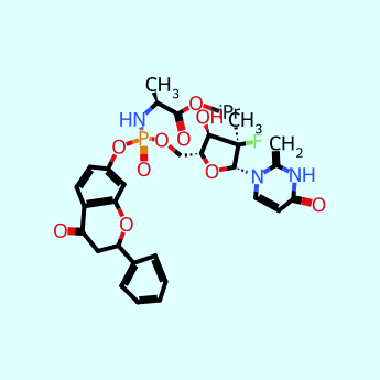 C=C1NC(=O)C=CN1[C@@H]1O[C@H](COP(=O)(N[C@@H](C)C(=O)OC(C)C)Oc2ccc3c(c2)OC(c2ccccc2)CC3=O)[C@@H](O)[C@@]1(C)F